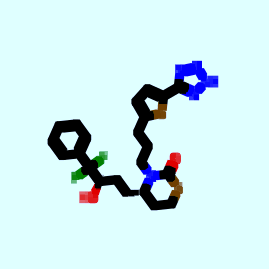 O=C1SCC[C@H](CC[C@@H](O)C(F)(F)c2ccccc2)N1CCCc1ccc(-c2nn[nH]n2)s1